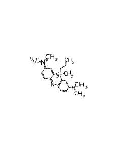 C=CC[Si]1(C)C2=CC(=[N+](C)C)C=CC2=Nc2ccc(N(C)C)cc21